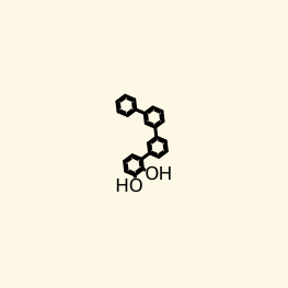 Oc1cccc(-c2cccc(-c3cccc(-c4ccccc4)c3)c2)c1O